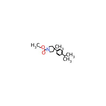 CCOC(=O)N1CCC(C)(c2ccc(C(C)C)cc2)CC1